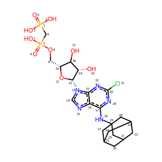 O=P(O)(O)CP(=O)(O)OC[C@H]1O[C@@H](n2cnc3c(NC45CC6CC(CC(C6)C4)C5)nc(Cl)nc32)[C@@H](O)C1O